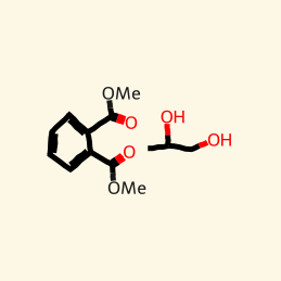 CC(O)CO.COC(=O)c1ccccc1C(=O)OC